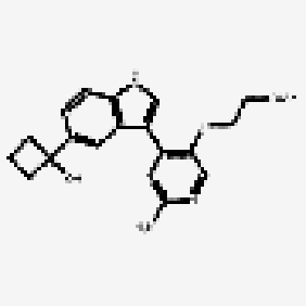 COCCOc1cnc(N)nc1-c1c[nH]c2ccc(C3(O)CCC3)cc12